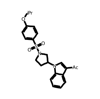 CC(=O)c1cn(C2CCN(S(=O)(=O)c3ccc(OC(C)C)cc3)C2)c2ccccc12